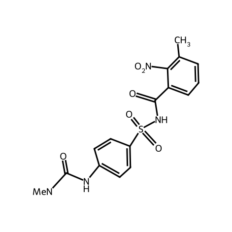 CNC(=O)Nc1ccc(S(=O)(=O)NC(=O)c2cccc(C)c2[N+](=O)[O-])cc1